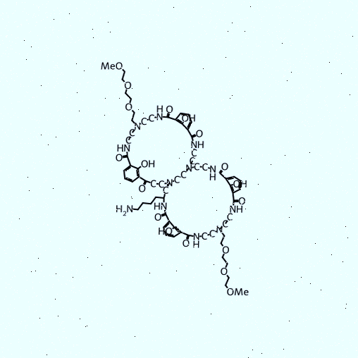 COCCOCCOCCN1CCNC(=O)c2cccc(c2O)C(=O)CCN2CCN(CCNC(=O)c3cccc(c3O)C(=O)NCC1)CCNC(=O)c1cccc(c1O)C(=O)NCCN(CCOCCOCCOC)CCNC(=O)c1cccc(c1O)C(=O)NC(CCCCN)C2